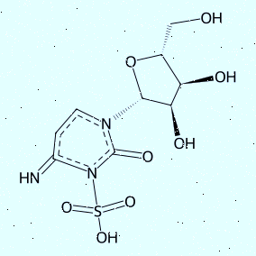 N=c1ccn([C@@H]2O[C@H](CO)[C@@H](O)[C@H]2O)c(=O)n1S(=O)(=O)O